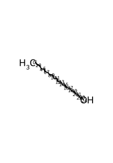 CCC=CCC=CCC=CCC=CCCC=CCCC=CCCCO